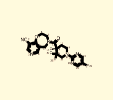 N#Cc1cncc2c1OCCN(C(=O)[C@]1(F)CCN(c3ncc(F)cn3)CC1(F)F)C2